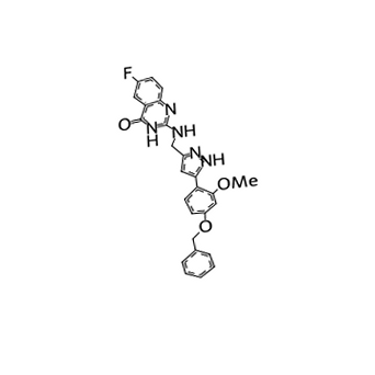 COc1cc(OCc2ccccc2)ccc1-c1cc(CNc2nc3ccc(F)cc3c(=O)[nH]2)n[nH]1